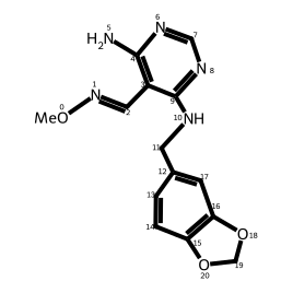 CON=Cc1c(N)ncnc1NCc1ccc2c(c1)OCO2